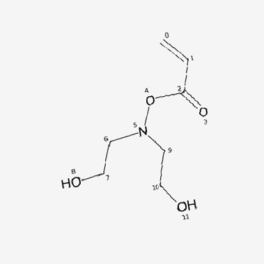 C=CC(=O)ON(CCO)CCO